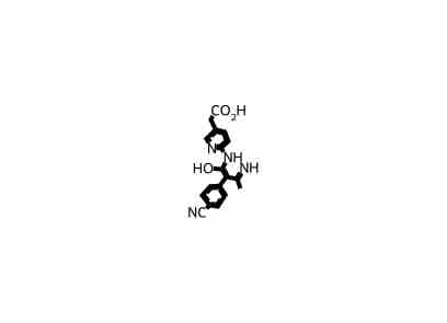 CC(=N)/C(=C(/O)Nc1ccc(CC(=O)O)cn1)c1ccc(C#N)cc1